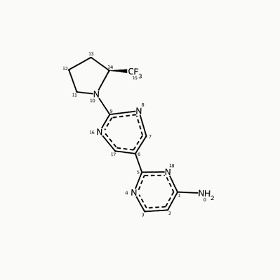 Nc1ccnc(-c2cnc(N3CCC[C@H]3C(F)(F)F)nc2)n1